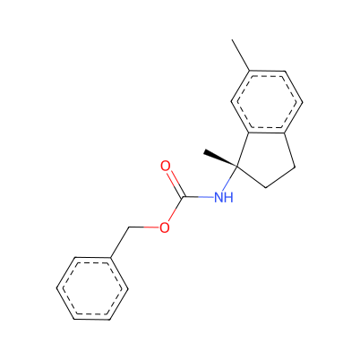 Cc1ccc2c(c1)[C@@](C)(NC(=O)OCc1ccccc1)CC2